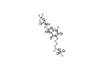 CC(CCCCn1c(=O)c2[nH]c(CNC(=O)OC(C)(C)C)nc2n(C)c1=O)OS(C)(=O)=O